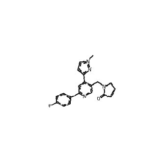 Cn1ccc(-c2cc(-c3ccc(F)cc3)ncc2CN2CC=CC2=O)n1